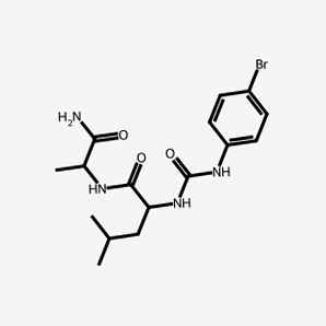 CC(C)CC(NC(=O)Nc1ccc(Br)cc1)C(=O)NC(C)C(N)=O